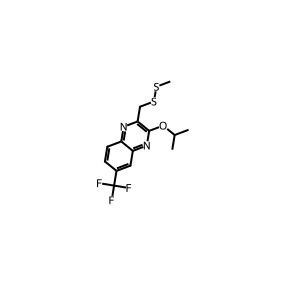 CSSCc1nc2ccc(C(F)(F)F)cc2nc1OC(C)C